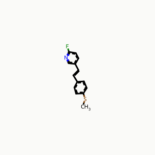 CSc1ccc(C=Cc2ccc(F)nc2)cc1